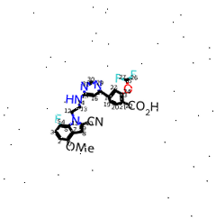 COc1ccc(F)c2c1cc(C#N)n2CCNc1cc(-c2ccc(C(=O)O)c(OC(F)F)c2)ncn1